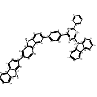 c1ccc(-c2nc(-c3ccc(-c4ccc5oc6cc(-c7ccc8c(c7)oc7ccccc78)ccc6c5c4)cc3)nc(-n3c4ccccc4c4ccccc43)n2)cc1